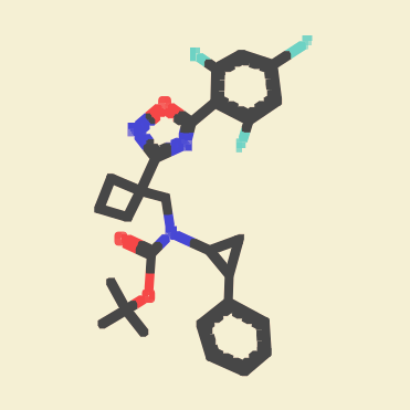 CC(C)(C)OC(=O)N(CC1(c2noc(-c3c(F)cc(F)cc3F)n2)CCC1)C1CC1c1ccccc1